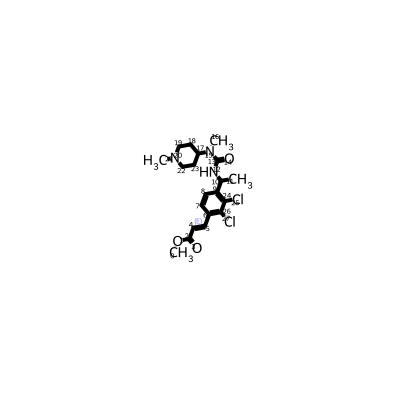 COC(=O)/C=C/c1ccc(C(C)NC(=O)N(C)C2CCN(C)CC2)c(Cl)c1Cl